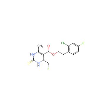 CC1=C(C(=O)OCCc2ccc(F)cc2Cl)C(CF)NC(=S)N1